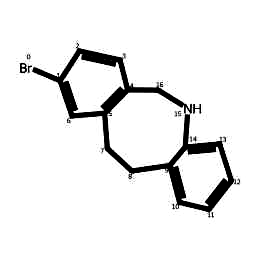 Brc1ccc2c(c1)CCc1ccccc1NC2